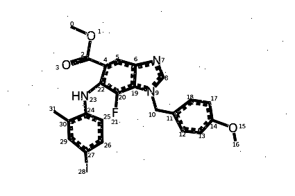 COC(=O)c1cc2ncn(Cc3ccc(OC)cc3)c2c(F)c1Nc1ccc(I)cc1C